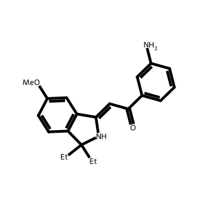 CCC1(CC)N/C(=C\C(=O)c2cccc(N)c2)c2cc(OC)ccc21